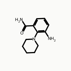 NC(=O)c1cccc(N)c1N1CCCCC1